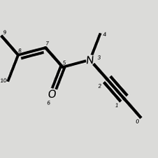 CC#CN(C)C(=O)C=C(C)C